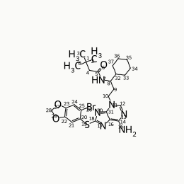 CC(C)(C)CC(=O)NC(CCn1cnc(N)c2nc(Sc3cc4c(cc3Br)OCO4)nc1-2)C1CCCCC1